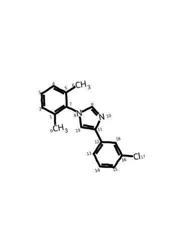 Cc1cccc(C)c1-n1cnc(-c2cccc(Cl)c2)c1